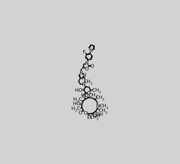 CC[C@H]1OC(=O)[C@H](C)[C@@H](O)[C@H](C)[C@@H](O[C@@H]2O[C@H](C)C[C@H](N(C)CCc3cn(C[C@H]4CN(c5ccc(-n6cccc6)c(F)c5)C(=O)O4)nn3)[C@H]2O)[C@](C)(O)C[C@@H](C)CN(C)[C@H](C)[C@@H](O)[C@]1(C)O